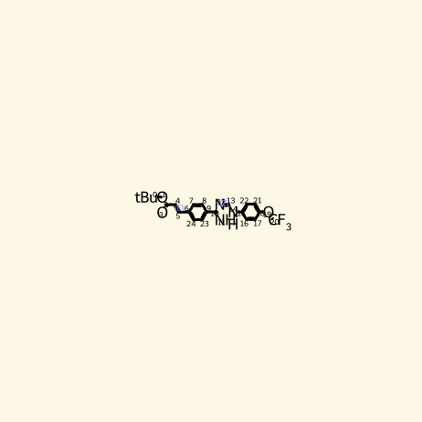 CC(C)(C)OC(=O)/C=C/c1ccc(C(=N)/N=C\Nc2ccc(OC(F)(F)F)cc2)cc1